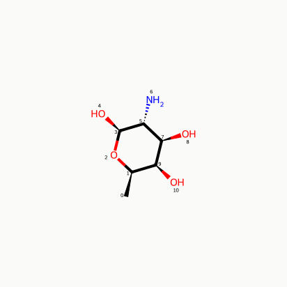 C[C@H]1O[C@@H](O)[C@H](N)[C@@H](O)[C@H]1O